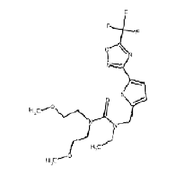 CCN(Cc1ccc(-c2noc(C(F)(F)F)n2)s1)C(=O)N(CCOC)CCOC